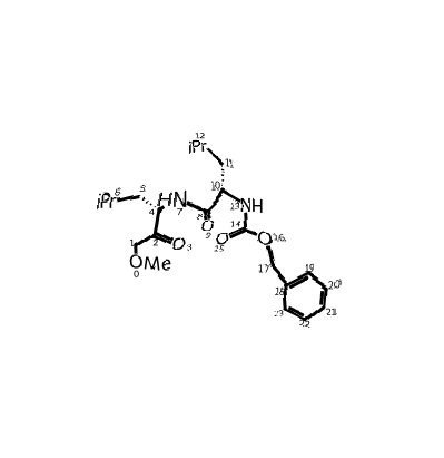 COCC(=O)[C@H](CC(C)C)NC(=O)[C@H](CC(C)C)NC(=O)OCc1ccccc1